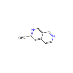 O=Cc1cc2ccncc2cn1